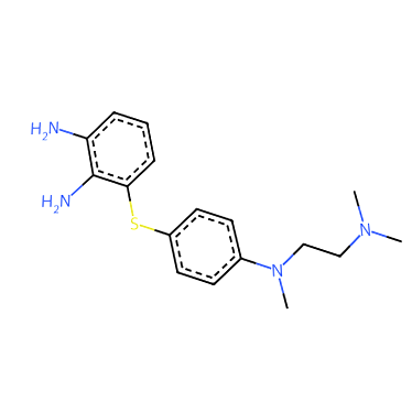 CN(C)CCN(C)c1ccc(Sc2cccc(N)c2N)cc1